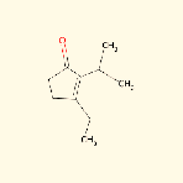 CCC1=C(C(C)C)C(=O)CC1